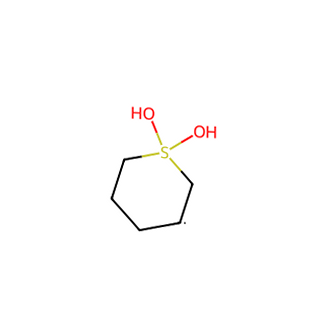 OS1(O)C[CH]CCC1